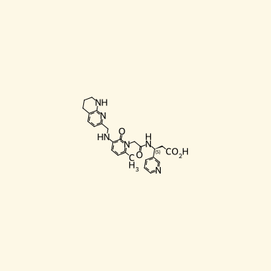 Cc1ccc(NCc2ccc3c(n2)NCCC3)c(=O)n1CC(=O)N[C@@H](CC(=O)O)c1cccnc1